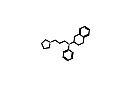 c1ccc(N(CCCN2CCCC2)C2CCc3ccccc3C2)cc1